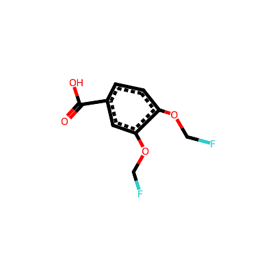 O=C(O)c1ccc(OCF)c(OCF)c1